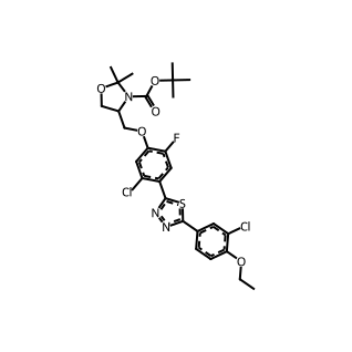 CCOc1ccc(-c2nnc(-c3cc(F)c(OCC4COC(C)(C)N4C(=O)OC(C)(C)C)cc3Cl)s2)cc1Cl